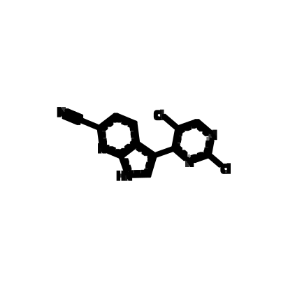 N#Cc1ccc2c(-c3nc(Cl)ncc3Cl)c[nH]c2n1